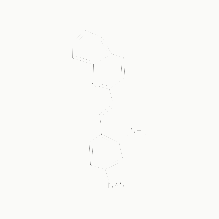 CNc1ccc(C=Cc2ccc3ccccc3n2)c(N)c1